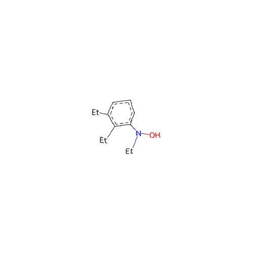 CCc1cccc(N(O)CC)c1CC